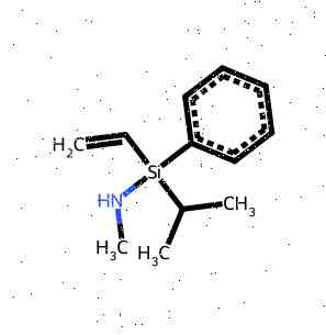 C=C[Si](NC)(c1ccccc1)C(C)C